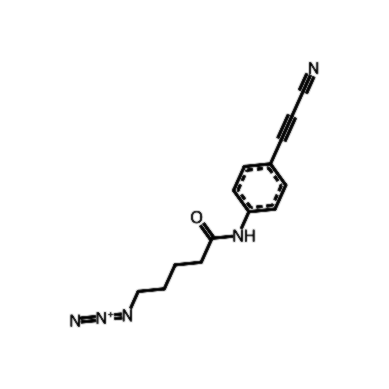 N#CC#Cc1ccc(NC(=O)CCCCN=[N+]=[N-])cc1